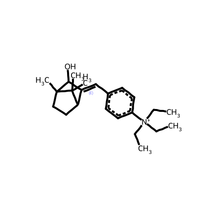 CC[N+](CC)(CC)c1ccc(/C=C2\C3CCC(C)(C2O)C3(C)C)cc1